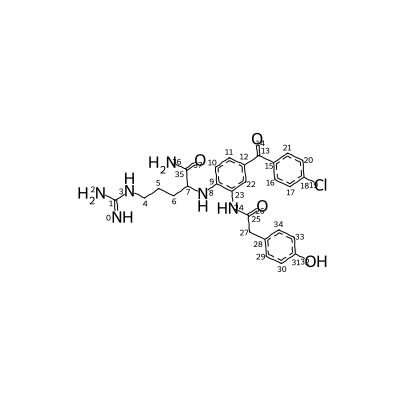 N=C(N)NCCCC(Nc1ccc(C(=O)c2ccc(Cl)cc2)cc1NC(=O)Cc1ccc(O)cc1)C(N)=O